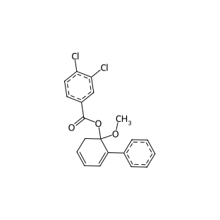 COC1(OC(=O)c2ccc(Cl)c(Cl)c2)CC=CC=C1c1ccccc1